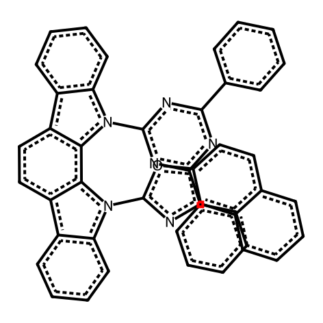 c1ccc(-c2nc(-c3ccccc3)nc(-n3c4ccccc4c4ccc5c6ccccc6n(-c6nc7c(ccc8ccccc87)o6)c5c43)n2)cc1